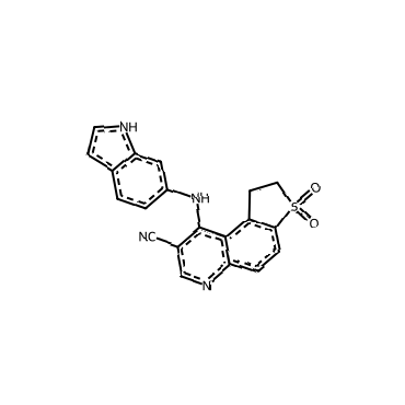 N#Cc1cnc2ccc3c(c2c1Nc1ccc2cc[nH]c2c1)CCS3(=O)=O